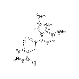 CSc1ccc(C(=O)Cc2c(Cl)cncc2Cl)c2cc(C=O)nn12